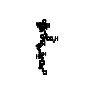 CN(CCCl)c1ccc(CNNCCC[N+](C)(C)CCCNC(=O)C(CCC[C@@H]2SC[C@@H]3NC(=O)N[C@@H]32)C(=O)O)cc1